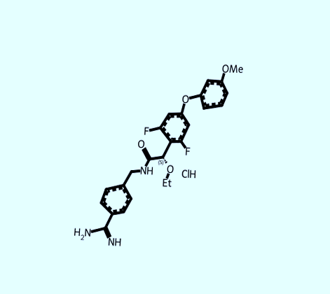 CCO[C@H](C(=O)NCc1ccc(C(=N)N)cc1)c1c(F)cc(Oc2cccc(OC)c2)cc1F.Cl